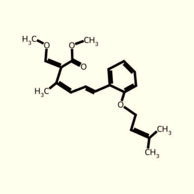 COC=C(C(=O)OC)C(C)=CC=Cc1ccccc1OCC=C(C)C